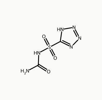 NC(=O)NS(=O)(=O)c1nnn[nH]1